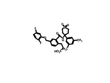 Cc1cc(C)cc(C2(NC(=O)c3cc(COc4cc(F)ccc4F)ccc3CCC(=O)O)CCS(=O)(=O)CC2)c1